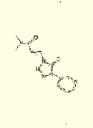 CN(C)C(=O)/C=C/n1nnn(-c2cccnc2)c1=O